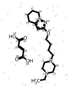 CCN1CCN(CCCCOc2cc3n(n2)CCCC3)CC1.O=C(O)C=CC(=O)O